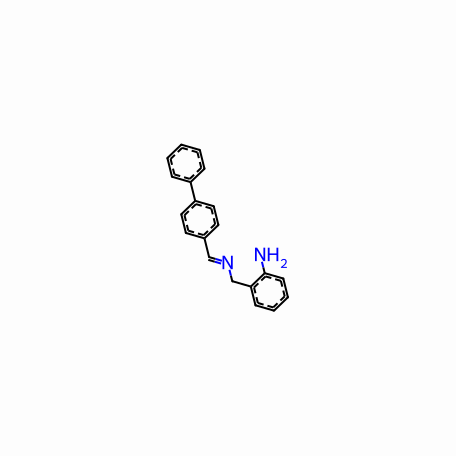 Nc1ccccc1C/N=C/c1ccc(-c2ccccc2)cc1